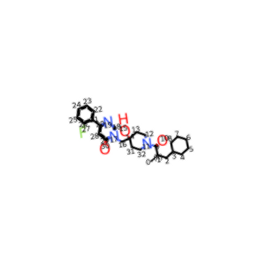 C[C@H](CC1CCCCC1)C(=O)N1CCC(O)(Cn2cnc(-c3ccccc3F)cc2=O)CC1